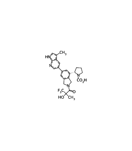 Cc1c[nH]c2ncc(-c3cc4c(c([C@@H]5CCCN5C(=O)O)c3)CN(C(=O)C(C)(O)C(F)(F)F)C4)cc12